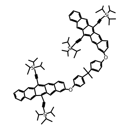 CC(C)[Si](C#Cc1c2cc3ccccc3cc2c(C#C[Si](C(C)C)(C(C)C)C(C)C)c2cc3cc(Oc4ccc(C(C)(C)c5ccc(Oc6ccc7cc8c(C#C[Si](C(C)C)(C(C)C)C(C)C)c9cc%10ccccc%10cc9c(C#C[Si](C(C)C)(C(C)C)C(C)C)c8cc7c6)cc5)cc4)ccc3cc12)(C(C)C)C(C)C